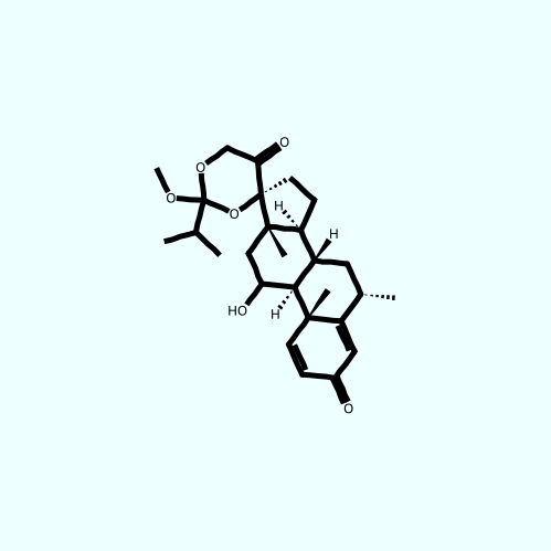 COC1(C(C)C)OCC(=O)[C@]2(CC[C@H]3[C@@H]4C[C@H](C)C5=CC(=O)C=C[C@]5(C)[C@H]4C(O)C[C@@]32C)O1